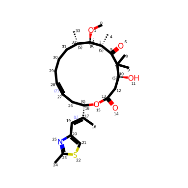 CO[C@H]1[C@H](C)C(=O)C(C)(C)[C@@H](O)CC(=O)O[C@H](/C(C)=C/c2csc(C)n2)C/C=C\CCC[C@@H]1C